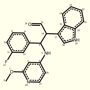 COc1cc(NC(c2cccc(F)c2)C(C=O)c2c[nH]c3ccccc23)ccn1